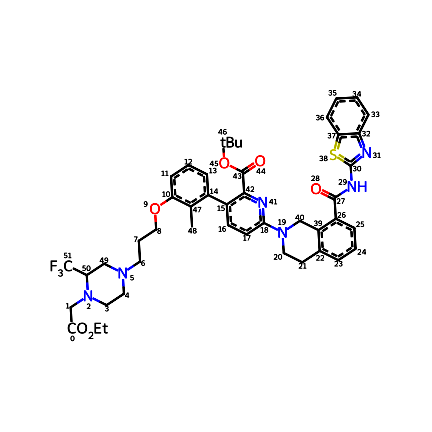 CCOC(=O)CN1CCN(CCCOc2cccc(-c3ccc(N4CCc5cccc(C(=O)Nc6nc7ccccc7s6)c5C4)nc3C(=O)OC(C)(C)C)c2C)CC1C(F)(F)F